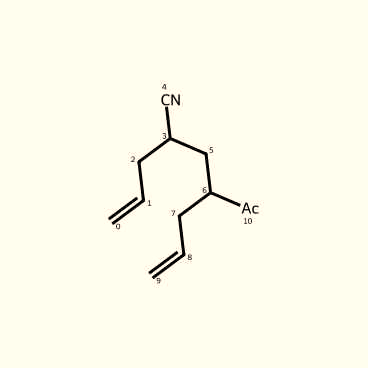 C=CCC(C#N)CC(CC=C)C(C)=O